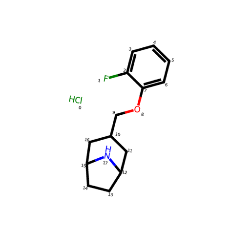 Cl.Fc1ccccc1OCC1CC2CCC(C1)N2